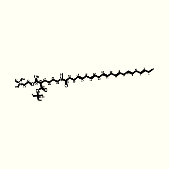 CCC=CCC=CCC=CCC=CCC=CCC=CCCC(=O)NCCCCC(C(=O)OCC[Si](C)(C)C)C(=O)OC(C)(C)C